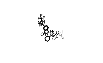 CC(C)(O)C(=O)NC1CCCC[C@@H]1N1Cc2ccc(-c3noc(C(F)(F)F)n3)cc2C1=O